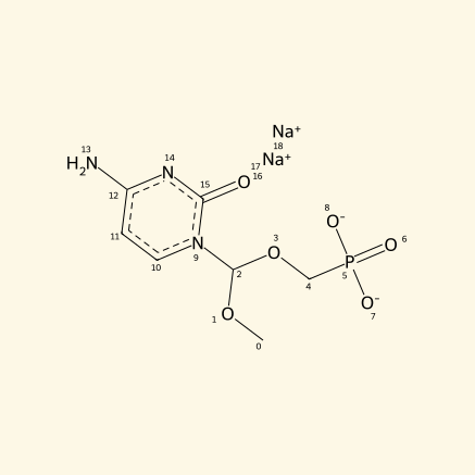 COC(OCP(=O)([O-])[O-])n1ccc(N)nc1=O.[Na+].[Na+]